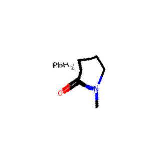 CN1CCCC1=O.[PbH2]